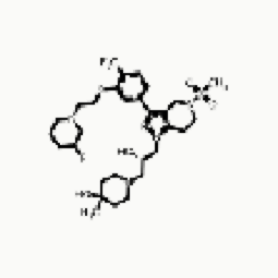 CC1(O)CCN(C[C@H](O)Cn2nc(-c3ccc(C(F)(F)F)c(SCCN4CCCC(F)C4)c3)c3c2CCN(S(C)(=O)=O)C3)CC1